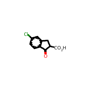 O=C(O)C1Cc2cc(Cl)ccc2C1=O